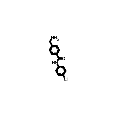 NCc1ccc(C(=O)Nc2ccc(Cl)cc2)cc1